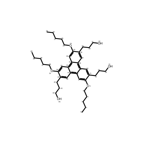 CCCCCOc1cc2c(cc1CCCO)c1cc(CCCO)c(OCCCCC)cc1c1cc(OCCCCC)c(CCCO)cc21